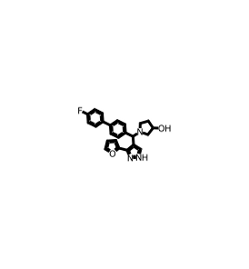 OC1CCN(C(c2ccc(-c3ccc(F)cc3)cc2)c2c[nH]nc2-c2ccco2)C1